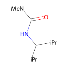 CNC(=O)NC(C(C)C)C(C)C